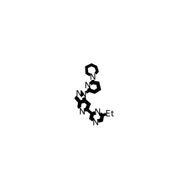 CCc1cncc(-c2cc3c(cn2)cnn3-c2cccc(N3CCCCC3)n2)n1